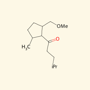 COCC1CCC(C)C1C(=O)CCC(C)C